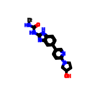 CCNC(=O)Nc1nc2cc(-c3ccc(N4CCC(O)C4)nc3)ccc2[nH]1